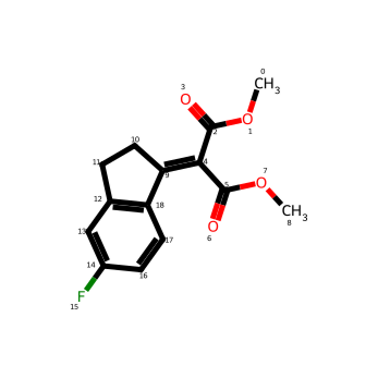 COC(=O)C(C(=O)OC)=C1CCc2cc(F)ccc21